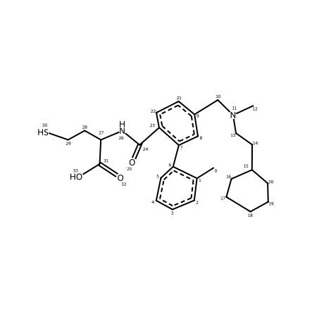 Cc1ccccc1-c1cc(CN(C)CCC2CCCCC2)ccc1C(=O)NC(CCS)C(=O)O